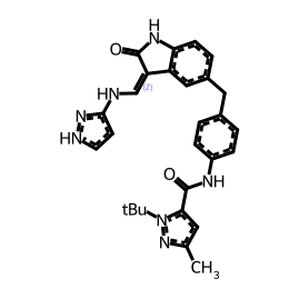 Cc1cc(C(=O)Nc2ccc(Cc3ccc4c(c3)/C(=C/Nc3cc[nH]n3)C(=O)N4)cc2)n(C(C)(C)C)n1